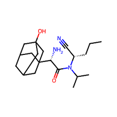 CCC[C@@H](C#N)N(C(=O)[C@@H](N)C12CC3CC(CC(O)(C3)C1)C2)C(C)C